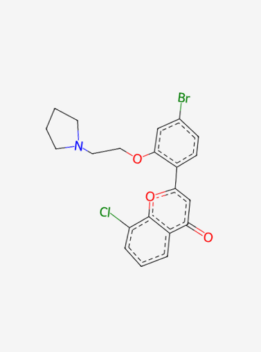 O=c1cc(-c2ccc(Br)cc2OCCN2CCCC2)oc2c(Cl)cccc12